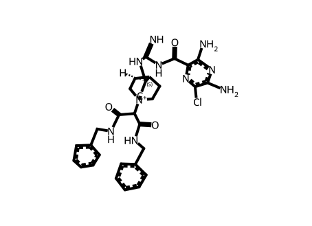 N=C(NC(=O)c1nc(Cl)c(N)nc1N)N[C@@H]1C[N+]2(C(C(=O)NCc3ccccc3)C(=O)NCc3ccccc3)CCC1CC2